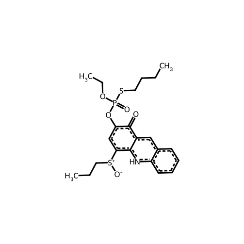 CCCCSP(=O)(OCC)Oc1cc([S+]([O-])CCC)c2[nH]c3ccccc3cc-2c1=O